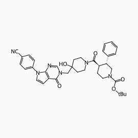 CC(C)(C)OC(=O)N1CC[C@@H](C(=O)N2CCC(O)(Cn3cnc4c(ccn4-c4ccc(C#N)cc4)c3=O)CC2)[C@H](c2ccccc2)C1